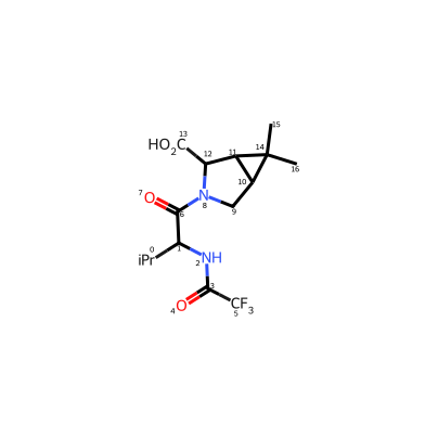 CC(C)C(NC(=O)C(F)(F)F)C(=O)N1CC2C(C1C(=O)O)C2(C)C